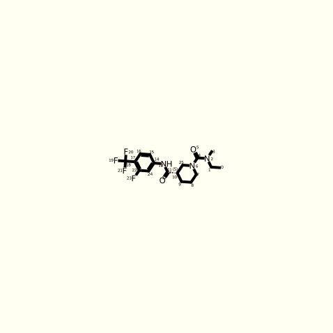 CCN(C)C(=O)N1CCC[C@H](C(=O)Nc2ccc(C(F)(F)F)c(F)c2)C1